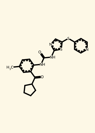 Cc1ccc(NC(=O)Nc2ncc(Sc3ccncc3)s2)c(C(=O)C2CCCC2)c1